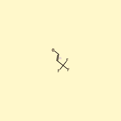 [B]/C=C/C(F)(F)F